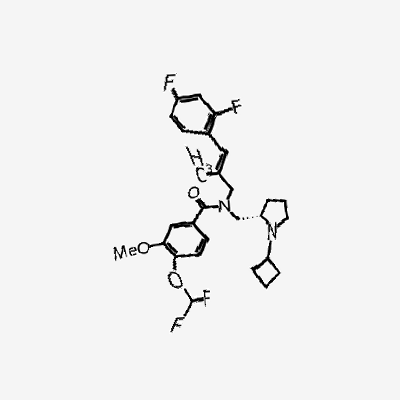 COc1cc(C(=O)N(C/C(C)=C/c2ccc(F)cc2F)C[C@@H]2CCCN2C2CCC2)ccc1OC(F)F